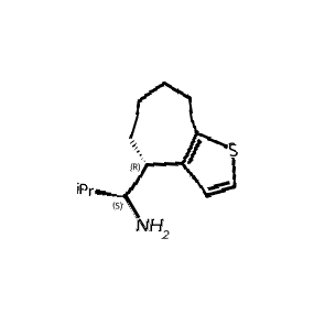 CC(C)[C@H](N)[C@@H]1CCCCc2sccc21